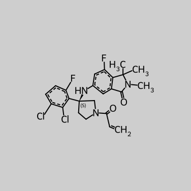 C=CC(=O)N1CC[C@](Nc2cc(F)c3c(c2)C(=O)N(C)C3(C)C)(c2c(F)ccc(Cl)c2Cl)C1